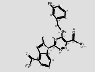 Cc1cc2c(C(N)=O)cccc2n1-c1nnc(C(N)=O)c(NCc2cccc(F)c2)n1